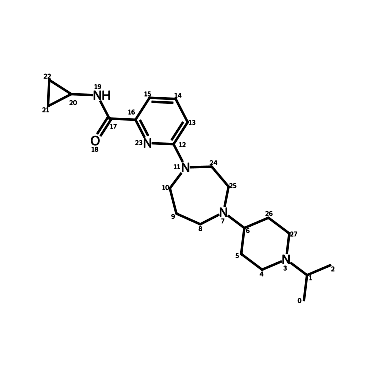 CC(C)N1CCC(N2CCCN(c3cccc(C(=O)NC4CC4)n3)CC2)CC1